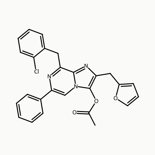 CC(=O)Oc1c(Cc2ccco2)nc2c(Cc3ccccc3Cl)nc(-c3ccccc3)cn12